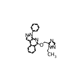 CCn1ncnc1COc1nc2c(cnn2-c2ccccc2)c2ccccc12